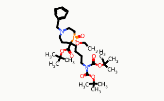 CCOP1(=O)CCN(Cc2ccccc2)CCC1(CCCCN(C(=O)OC(C)(C)C)C(=O)OC(C)(C)C)C(=O)OC(C)(C)C